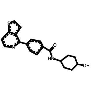 O=C(NC1CCC(O)CC1)c1ccc(-c2nccc3sccc23)cc1